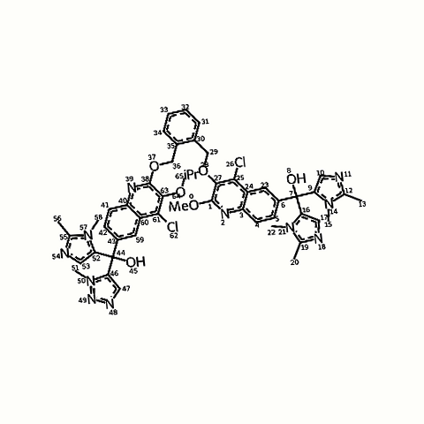 COc1nc2ccc(C(O)(c3cnc(C)n3C)c3cnc(C)n3C)cc2c(Cl)c1OCc1ccccc1COc1nc2ccc(C(O)(c3cnnn3C)c3cnc(C)n3C)cc2c(Cl)c1OC(C)C